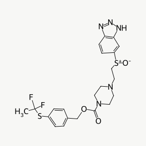 CC(F)(F)Sc1ccc(COC(=O)N2CCN(CC[S+]([O-])c3ccc4nn[nH]c4c3)CC2)cc1